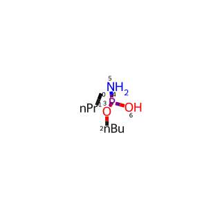 CCCC.CCCCOP(N)O